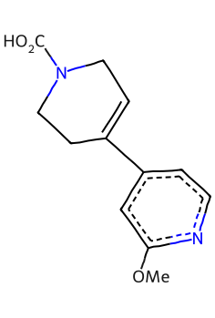 COc1cc(C2=CCN(C(=O)O)CC2)ccn1